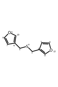 c1cc(CSCc2ccoc2)co1